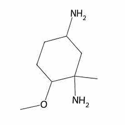 COC1CCC(N)CC1(C)N